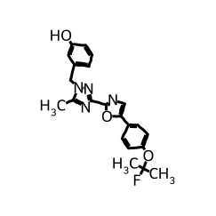 Cc1nc(-c2ncc(-c3ccc(OC(C)(C)F)cc3)o2)nn1Cc1cccc(O)c1